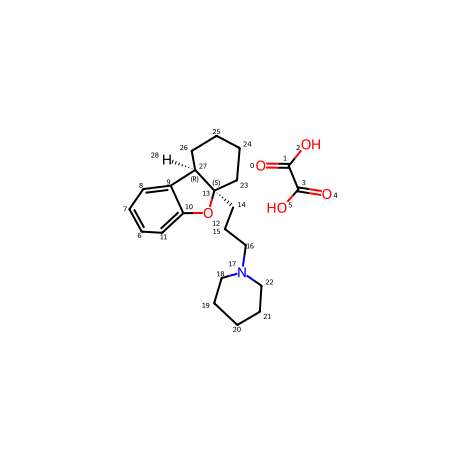 O=C(O)C(=O)O.c1ccc2c(c1)O[C@]1(CCCN3CCCCC3)CCCC[C@H]21